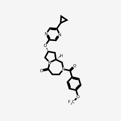 O=C(c1ccc(OC(F)(F)F)cc1)N1CCC(=O)N2C[C@H](Oc3cnc(C4CC4)cn3)C[C@H]2C1